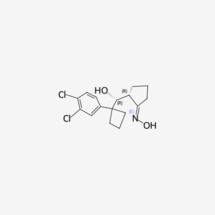 O/N=C1\CCC[C@H]1[C@@H](O)C1(c2ccc(Cl)c(Cl)c2)CCC1